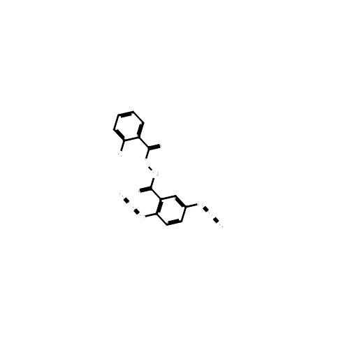 [N-]=[N+]=Nc1ccc(N=[N+]=[N-])c(C(=O)NOC(=O)c2ccccc2[N+](=O)[O-])c1